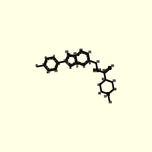 Cc1ccc(-c2cn3cc(CNC(=O)C4CCN(C)CC4)ccc3n2)cc1